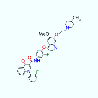 COc1cc2c(Oc3ccc(NC(=O)c4cn(-c5ccccc5F)c5ccccc5c4=O)cc3F)ccnc2cc1OCCCN1CCC(C)CC1